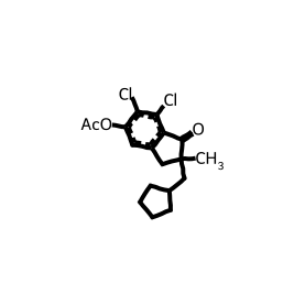 CC(=O)Oc1cc2c(c(Cl)c1Cl)C(=O)C(C)(CC1CCCC1)C2